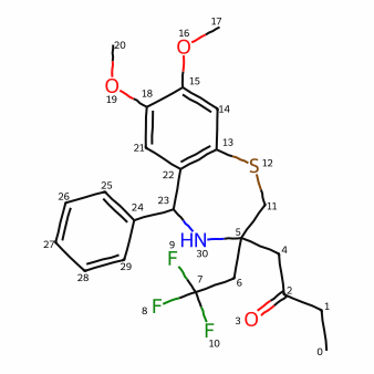 CCC(=O)CC1(CC(F)(F)F)CSc2cc(OC)c(OC)cc2C(c2ccccc2)N1